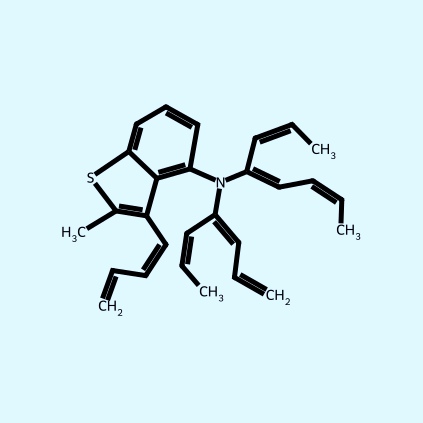 C=C/C=C\c1c(C)sc2cccc(N(C(/C=C\C)=C/C=C)C(/C=C\C)=C/C=C\C)c12